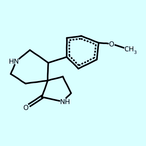 COc1ccc(C2CNCCC23CCNC3=O)cc1